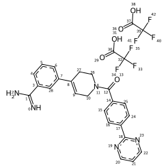 N=C(N)c1cccc(C2=CCN(C(=O)c3ccc(-c4ncccn4)cc3)CC2)c1.O=C(O)C(F)(F)F.O=C(O)C(F)(F)F